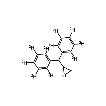 [2H]c1c([2H])c([2H])c(C(c2c([2H])c([2H])c([2H])c([2H])c2[2H])C2CO2)c([2H])c1[2H]